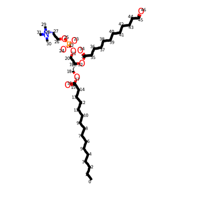 CCCCCCCCCCCCCCCC(=O)OC[C@H](COP(=O)([O-])OCC[N+](C)(C)C)OC(=O)CCCCCCCCCCC=O